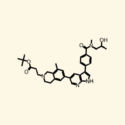 Cc1cc(-c2cnc3[nH]cc(-c4ccc(C(=O)N(C)CC(C)O)cc4)c3c2)cc2c1CN(CCC(=O)OC(C)(C)C)CC2